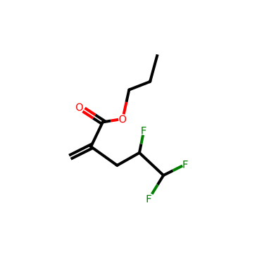 C=C(CC(F)C(F)F)C(=O)OCCC